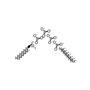 CC#N.[Na+].[Na+].[Na+].[Na+].[Na+].[Na+].[Na+].[Na+].[Na+].[Na+].[Na+].[Na+].[O-]B([O-])[O-].[O-]B([O-])[O-].[O-]B([O-])[O-].[O-]B([O-])[O-]